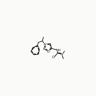 CC(Cc1ccccc1)[n+]1cc(NC(Cl)=[N+](C)C)on1